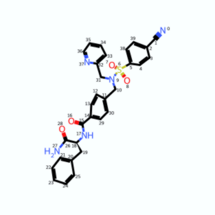 N#Cc1ccc(S(=O)(=O)N(Cc2ccc(C(=O)N[C@@H](Cc3ccccc3)C(N)=O)cc2)Cc2ccccn2)cc1